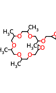 CC(COCC1CO1)OCC(C)OCC(C)OCC(C)OCC(C)OCC1CO1